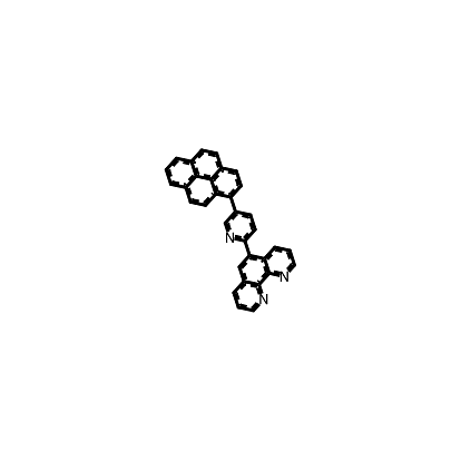 c1cnc2c(c1)cc(-c1ccc(-c3ccc4ccc5cccc6ccc3c4c56)cn1)c1cccnc12